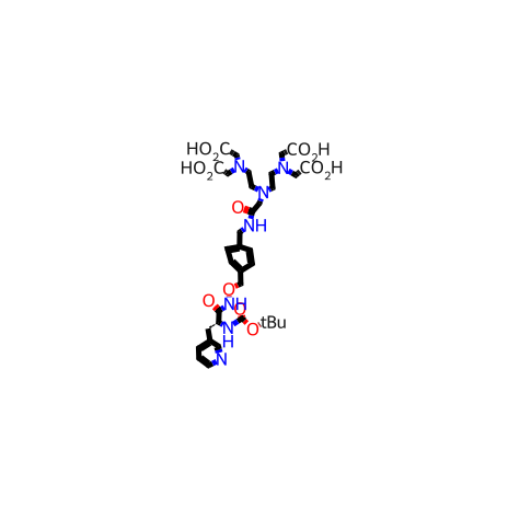 CC(C)(C)OC(=O)N[C@H](Cc1cccnc1)C(=O)NOCc1ccc(CNC(=O)CN(CCN(CC(=O)O)CC(=O)O)CCN(CC(=O)O)CC(=O)O)cc1